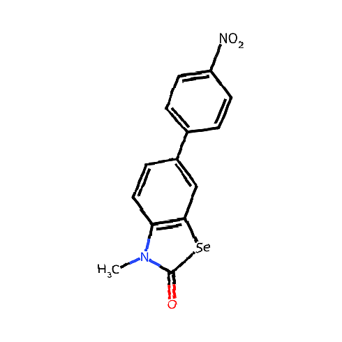 Cn1c(=O)[se]c2cc(-c3ccc([N+](=O)[O-])cc3)ccc21